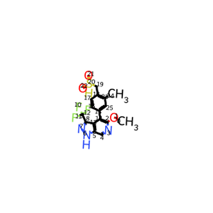 COc1ncc2[nH]nc(C(F)(F)F)c2c1-c1ccc(C[SH](=O)=O)c(C)c1